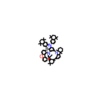 Cc1cc2c3cc1N1c4cc(cc5c4B(c4cc6c(cc4N5c4ccc5c(c4)C(C)(C)CCC5(C)C)C(C)(C)CCC6(C)C)c4ccc5oc6ccccc6c5c41)N1c4cc(ccc4C4(C)CCCCC14C)C3(C)CCC2(C)C